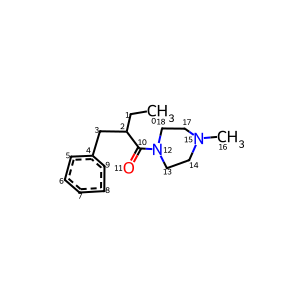 CCC(Cc1ccccc1)C(=O)N1CCN(C)CC1